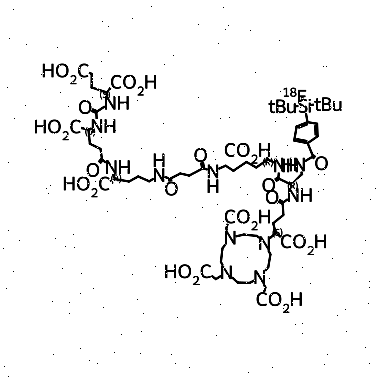 CC(C)(C)[Si]([18F])(c1ccc(C(=O)NC[C@@H](NC(=O)CC[C@@H](C(=O)O)N2CCN(CC(=O)O)CCN(CC(=O)O)CCN(CC(=O)O)CC2)C(=O)N[C@H](CCCCNC(=O)CCC(=O)NCCC[C@@H](NC(=O)CC[C@H](NC(=O)N[C@@H](CCC(=O)O)C(=O)O)C(=O)O)C(=O)O)C(=O)O)cc1)C(C)(C)C